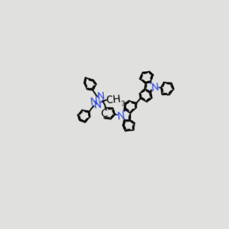 CC1(c2cccc(-n3c4ccccc4c4cc(-c5ccc6c(c5)c5ccccc5n6-c5ccccc5)ccc43)c2)N=C(c2ccccc2)N2C(c3ccccc3)N21